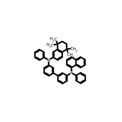 CC1(C)CCC(C)(C)c2cc(N(c3ccccc3)c3cccc(-c4cccc(N(c5ccccc5)c5cccc6ccccc56)c4)c3)ccc21